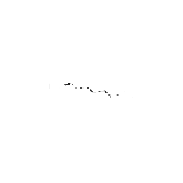 C=CCC=CC=CC